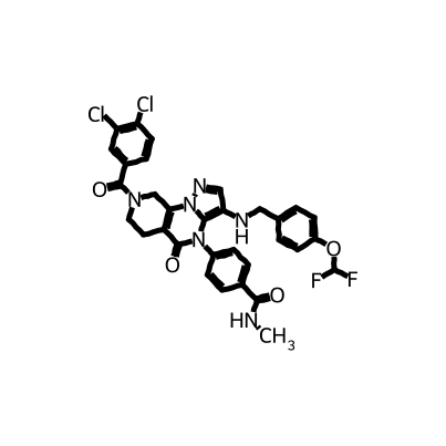 CNC(=O)c1ccc(-n2c(=O)c3c(n4ncc(NCc5ccc(OC(F)F)cc5)c24)CN(C(=O)c2ccc(Cl)c(Cl)c2)CC3)cc1